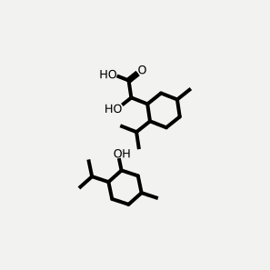 CC1CCC(C(C)C)C(C(O)C(=O)O)C1.CC1CCC(C(C)C)C(O)C1